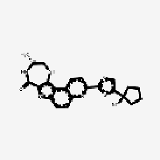 C[C@@H]1CNc2c(oc3ccc4nc(-c5ncc(C6(C#N)CCCC6)s5)ccc4c23)C(=O)N1